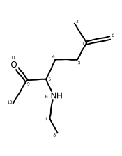 C=C(C)CCC(NCC)C(C)=O